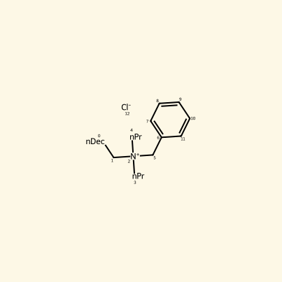 CCCCCCCCCCC[N+](CCC)(CCC)Cc1ccccc1.[Cl-]